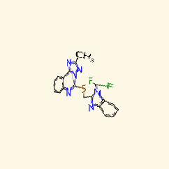 Cc1nc2c3ccccc3nc(SCc3nc4ccccc4n3C(F)F)n2n1